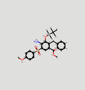 COC(=O)c1cc(S(=O)(=O)c2ccc(OC)cc2)c(N)c(O[Si](C)(C)C(C)(C)C)c1Cc1ccccc1